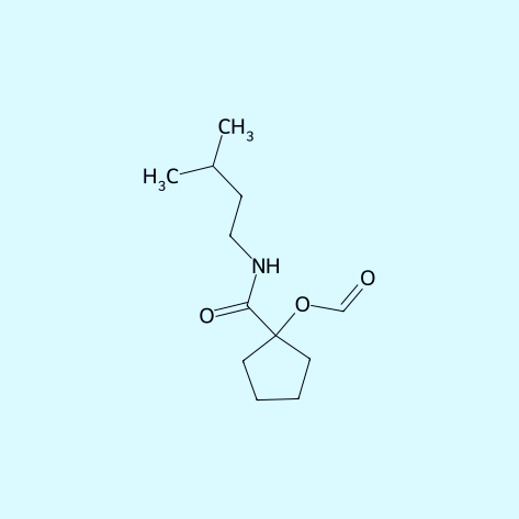 CC(C)CCNC(=O)C1(OC=O)CCCC1